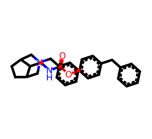 O=C(NCC1C2CCC1CN(Cc1ccccc1)C2)Oc1ccc(Cc2ccccc2)cc1